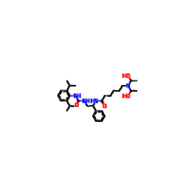 CC(C)c1cccc(C(C)C)c1NC(=O)NCC(NC(=O)CCCCCN(C(C)O)C(C)O)c1ccccc1